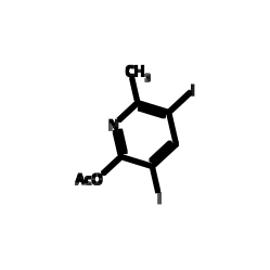 CC(=O)Oc1nc(C)c(I)cc1I